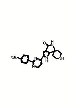 CC(C)(C)c1ccc(-c2nccc(-c3cc4c([nH]3)C3(CCNCC3)CNC4=O)n2)cc1